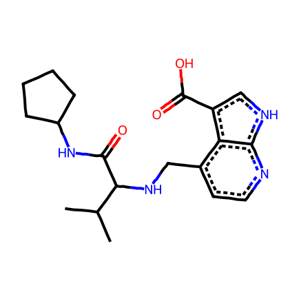 CC(C)C(NCc1ccnc2[nH]cc(C(=O)O)c12)C(=O)NC1CCCC1